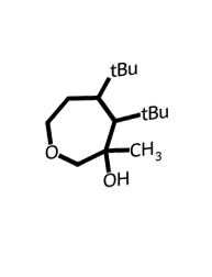 CC(C)(C)C1CCOCC(C)(O)C1C(C)(C)C